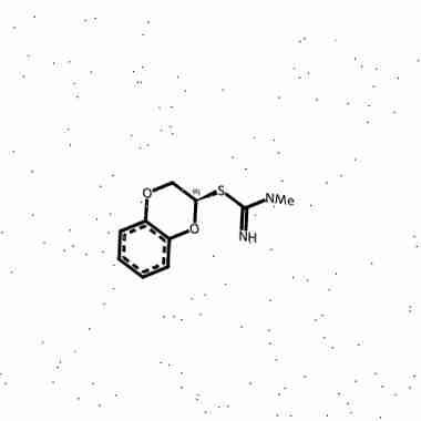 CNC(=N)S[C@@H]1COc2ccccc2O1